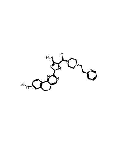 CC(C)Oc1ccc2c(c1)CCc1cnc(C3N=C(N)C(C(=O)N4CCN(CCc5ccccn5)CC4)=N3)nc1-2